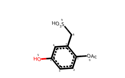 CC(=O)Oc1ccc(O)cc1CS(=O)(=O)O